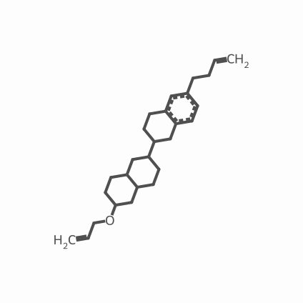 C=CCCc1ccc2c(c1)CCC(C1CCC3CC(OCC=C)CCC3C1)C2